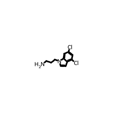 NCCCn1ccc2c(Cl)cc(Cl)cc21